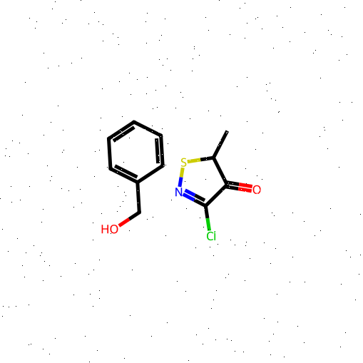 CC1SN=C(Cl)C1=O.OCc1ccccc1